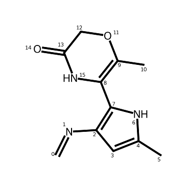 C=Nc1cc(C)[nH]c1C1=C(C)OCC(=O)N1